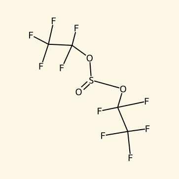 O=S(OC(F)(F)C(F)(F)F)OC(F)(F)C(F)(F)F